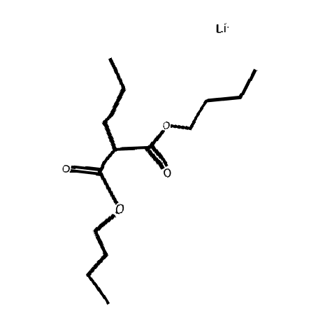 CCCCOC(=O)C(CCC)C(=O)OCCCC.[Li]